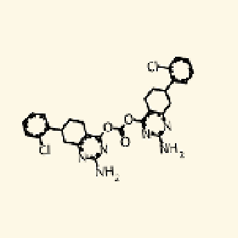 Nc1nc2c(c(OC(=O)Oc3nc(N)nc4c3CCC(c3ccccc3Cl)C4)n1)CCC(c1ccccc1Cl)C2